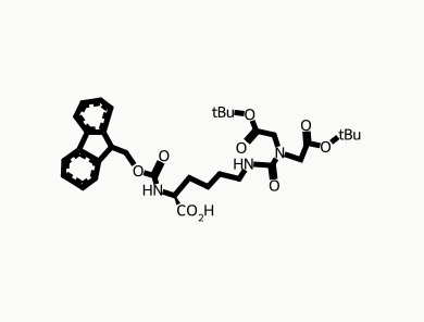 CC(C)(C)OC(=O)CN(CC(=O)OC(C)(C)C)C(=O)NCCCC[C@H](NC(=O)OCC1c2ccccc2-c2ccccc21)C(=O)O